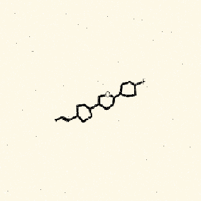 C/C=C/C1CCC(C2CCC(C3CCC(F)CC3)OC2)CC1